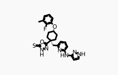 Cc1cccc(O[C@H]2CC[C@](Cc3cccc(Nc4cc[nH]n4)n3)(c3n[nH]c(=S)o3)CC2)c1F